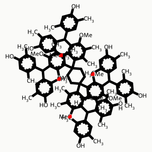 COc1c(C)c(C)c(C2(c3c(C)c(C)c(OC)c(C(c4cc(C)c(O)cc4C)c4cc(C)c(O)cc4C)c3OC)CCC(c3c(C)c(C)c(OC)c(C(c4cc(C)c(O)cc4C)c4cc(C)c(O)cc4C)c3OC)(c3c(C)c(C)c(OC)c(C(c4cc(C)c(O)cc4C)c4cc(C)c(O)cc4C)c3OC)CC2)c(OC)c1C(c1cc(C)c(O)cc1C)c1cc(C)c(O)cc1C